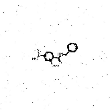 COc1cc(B(O)O)ccc1C(=O)NCc1ccccc1